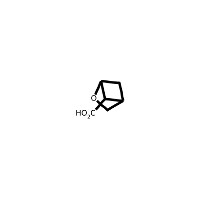 O=C(O)C1C2COC1C2